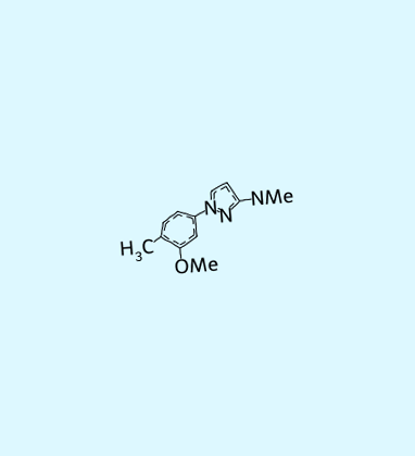 CNc1ccn(-c2ccc(C)c(OC)c2)n1